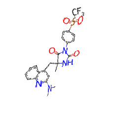 CN(C)c1cc(CC2(C)NC(=O)N(c3ccc(S(=O)(=O)C(F)(F)F)cc3)C2=O)c2ccccc2n1